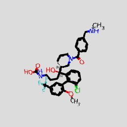 CNCc1ccc(C(=O)N2CCC[C@@H]([C@@](O)(CCCNC(=O)O)c3cccc(Cl)c3-c3cc(C(F)(F)F)ccc3OC)C2)cc1